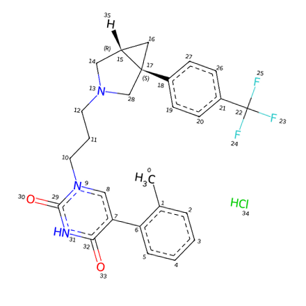 Cc1ccccc1-c1cn(CCCN2C[C@@H]3C[C@]3(c3ccc(C(F)(F)F)cc3)C2)c(=O)[nH]c1=O.Cl